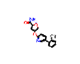 N#Cc1ccccc1-c1ccc(O[C@H]2[CH]C(C(N)=O)OC2)nc1